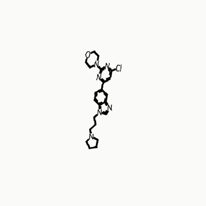 Clc1cc(-c2ccc3c(c2)ncn3CCCN2CCCC2)nc(N2CCOCC2)n1